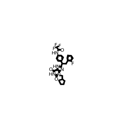 O=C(Nc1ccc(C(Cc2ccccc2F)c2nc3c([nH]2)c(=O)[nH]c(=O)n3CC2CCCC2)cc1)C(F)(F)F